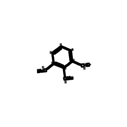 COc1cccc([C]=O)c1OC